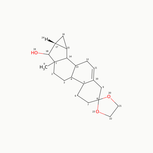 CC12CCC3C4CCC5(CC4=CCC3C1C1C[C@H]1C2O)OCCO5